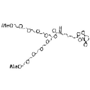 COCCOCCOCCOCCOCC(COCCOCCOCCOCCOC)OC(=O)NCCCCCC(=O)ON1C(=O)CCC1=O